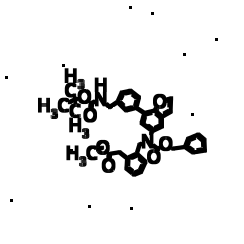 COC(=O)Cc1ccccc1CN(C(=O)OCc1ccccc1)c1cc(-c2cccc(CNC(=O)OC(C)(C)C)c2)c2occc2c1